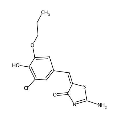 CCCOc1cc(/C=C2/SC(N)=NC2=O)cc(Cl)c1O